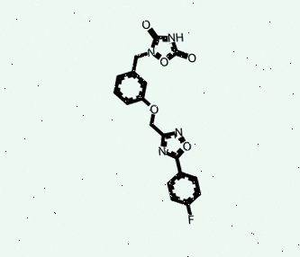 O=c1[nH]c(=O)n(Cc2cccc(OCc3noc(-c4ccc(F)cc4)n3)c2)o1